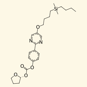 CCCC[Si](C)(C)CCCCOc1cnc(-c2ccc(OC(=O)O[C@@H]3CCCO3)cc2)nc1